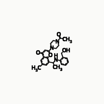 CC(=O)N1CCN(c2cc(=O)c3cc(C)cc(C(C)Nc4ccccc4CO)c3o2)CC1